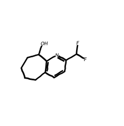 OC1CCCCc2ccc(C(F)F)nc21